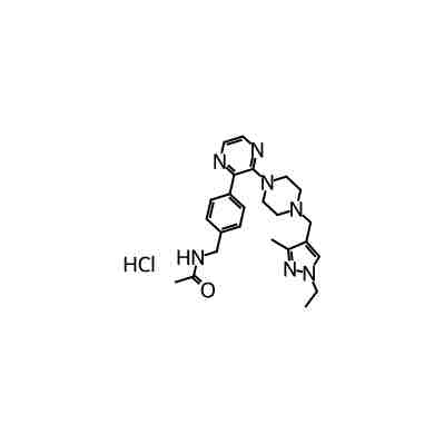 CCn1cc(CN2CCN(c3nccnc3-c3ccc(CNC(C)=O)cc3)CC2)c(C)n1.Cl